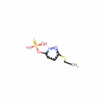 CCSc1ccc(OP(O)(O)=S)nn1